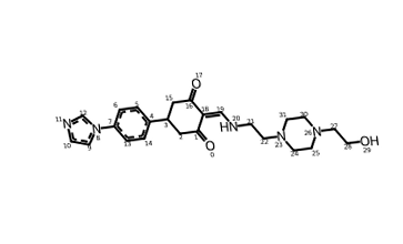 O=C1CC(c2ccc(-n3ccnc3)cc2)CC(=O)C1=CNCCN1CCN(CCO)CC1